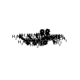 CC(C)C[C@H](NC(=O)[C@H](CC(C)C)NC(=O)[C@@H](Cc1c[nH]c2ccccc12)NC(=O)[C@H](Cc1ccccc1)NC(=O)[C@@H](Cc1c[nH]c2ccccc12)NC(=O)[C@H](CCC(N)=O)NC(=O)[C@H](CCC(N)=O)NC(=O)[C@@H]1CCCN1C(=O)[C@H](CCCCN)NC(=O)[C@@H]1CCCN1C(=O)[C@H](N)CCCN=C(N)N)C(N)=O